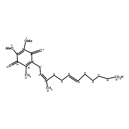 COC1=C(OC)C(=O)C(CC=C(C)CCC=CCCCCC(=O)O)=C(C)C1=O